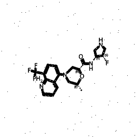 C[C@@H]1CN(c2ccc(C(F)(F)P)c3ncccc23)C[C@H](C(=O)N[C@@H]2CNC[C@@H]2F)O1